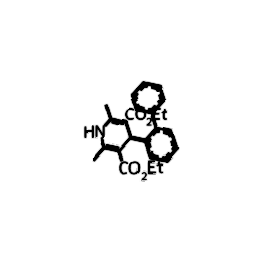 CCOC(=O)C1=C(C)NC(C)=C(C(=O)OCC)C1c1ccccc1-c1ccccc1